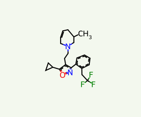 CC1CC=CCN(CCc2c(-c3ccccc3CC(F)(F)F)noc2C2CC2)C1